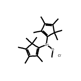 C[O][Zr+]([C]1=C(C)C(C)=C(C)C1(C)C)[C]1=C(C)C(C)=C(C)C1(C)C.[Cl-]